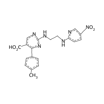 Cc1ccc(-c2nc(NCCNc3ccc([N+](=O)[O-])cn3)ncc2C(=O)O)cc1